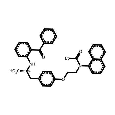 CCC(=O)N(CCOc1ccc(C[C@H](Nc2ccccc2C(=O)c2ccccc2)C(=O)O)cc1)c1cccc2ccccc12